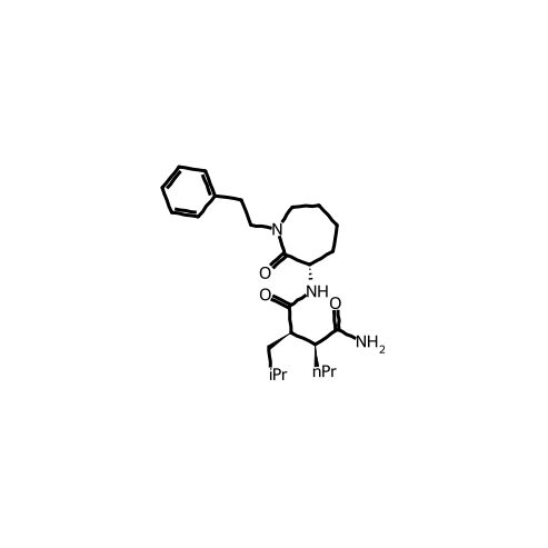 CCC[C@H](C(N)=O)[C@@H](CC(C)C)C(=O)N[C@H]1CCCCN(CCc2ccccc2)C1=O